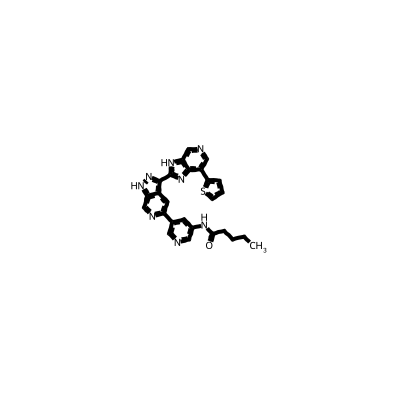 CCCCC(=O)Nc1cncc(-c2cc3c(-c4nc5c(-c6cccs6)cncc5[nH]4)n[nH]c3cn2)c1